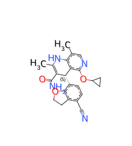 CC1=C(C(N)=O)[C@@H](c2ccc(C#N)c3c2OCC3)c2c(OC3CC3)ncc(C)c2N1